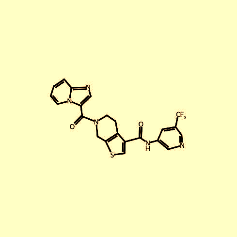 O=C(Nc1cncc(C(F)(F)F)c1)c1csc2c1CCN(C(=O)c1cnc3ccccn13)C2